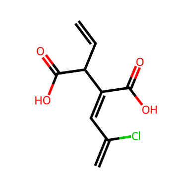 C=CC(C(=O)O)C(=CC(=C)Cl)C(=O)O